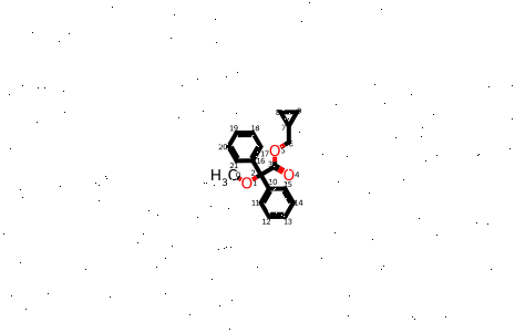 COC(C(=O)OCC1CC1)(c1ccccc1)c1ccccc1